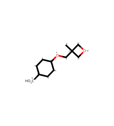 CC1(COC2CCC(C(=O)O)CC2)COC1